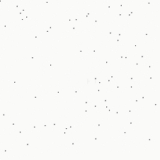 C=CC(=O)OCCCCC.Cl